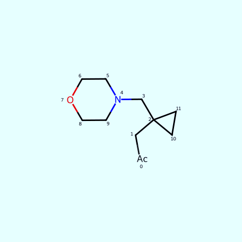 CC(=O)CC1(CN2CCOCC2)CC1